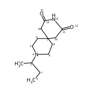 CCC(C)N1CCC2(CC1)CC(=O)NC(=O)C2